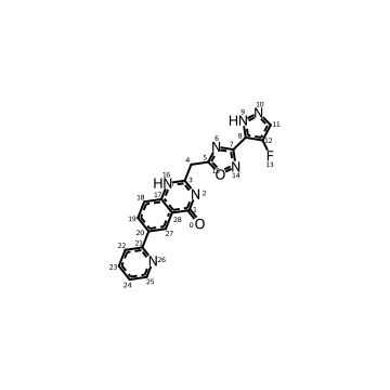 O=c1nc(Cc2nc(-c3[nH]ncc3F)no2)[nH]c2ccc(-c3ccccn3)cc12